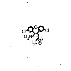 CS(=O)(=O)OCC1c2cc(Cl)ccc2Oc2ccc(Cl)cc2C1C[N+](=O)[O-]